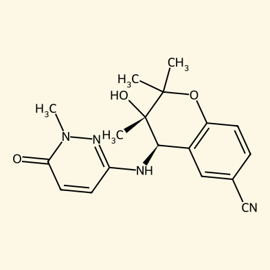 Cn1nc(N[C@@H]2c3cc(C#N)ccc3OC(C)(C)[C@@]2(C)O)ccc1=O